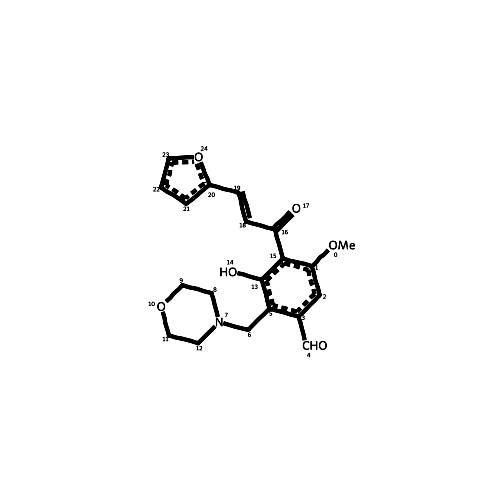 COc1cc(C=O)c(CN2CCOCC2)c(O)c1C(=O)/C=C/c1ccco1